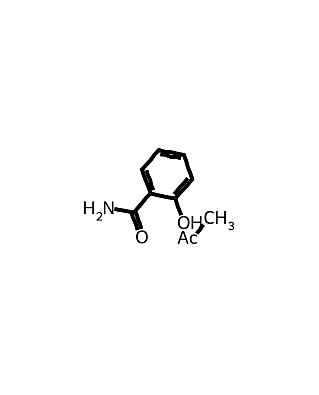 CC(C)=O.NC(=O)c1ccccc1O